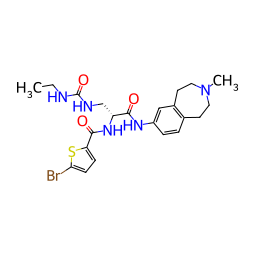 CCNC(=O)NC[C@@H](NC(=O)c1ccc(Br)s1)C(=O)Nc1ccc2c(c1)CCN(C)CC2